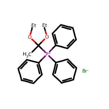 CCOC(C)(OCC)[P+](c1ccccc1)(c1ccccc1)c1ccccc1.[Br-]